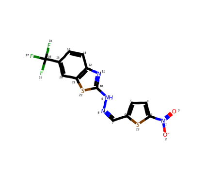 O=[N+]([O-])c1ccc(/C=N\Nc2nc3ccc(C(F)(F)F)cc3s2)s1